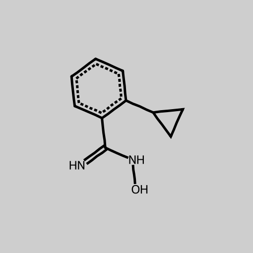 N=C(NO)c1ccccc1C1CC1